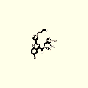 CCn1ncc(CN(C)C(=O)c2nc(-c3cnn(CCCO)c3)nc3ccc(Cl)cc23)c1C